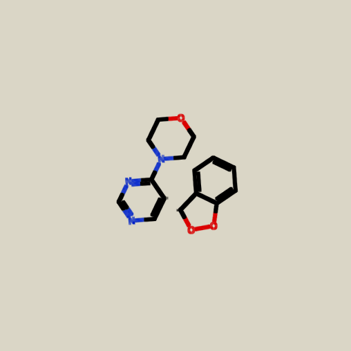 [CH]1OOc2ccccc21.[c]1cncnc1N1CCOCC1